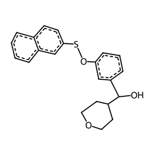 OC(c1cccc(OSc2ccc3ccccc3c2)c1)C1CCOCC1